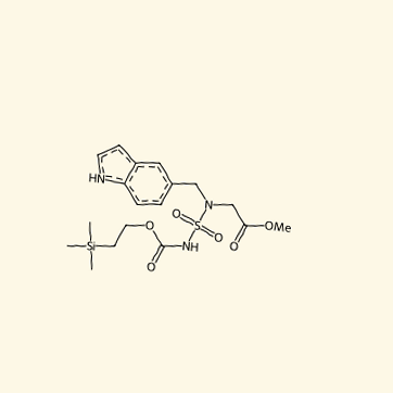 COC(=O)CN(Cc1ccc2[nH]ccc2c1)S(=O)(=O)NC(=O)OCC[Si](C)(C)C